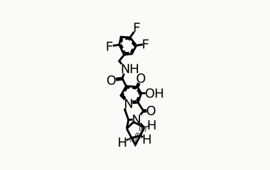 O=C(NCc1cc(F)c(F)cc1F)c1cn2c(c(O)c1=O)C(=O)N1C(C2)C2C[C@@H]1[C@@H]1C[C@H]21